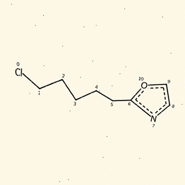 ClCCCCCc1ncco1